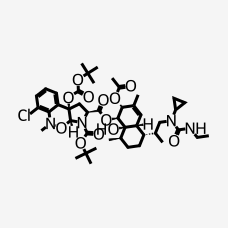 CCNC(=O)N(CC(C)[C@@H]1CC[C@@H](C)[C@@]2(O)[C@@H]1C=C(C)[C@@H](OC(C)=O)[C@@H]2OC(=O)[C@@H]1C[C@@]2(OC(=O)OC(C)(C)C)c3cccc(Cl)c3N(C)O[C@H]2N1C(=O)OC(C)(C)C)C1CC1